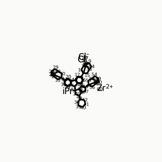 CC(C)C1(C2c3ccc(C45CC6CC(CC(C6)C4)C5)cc3-c3cc(C45CC6CC(CC(C6)C4)C5)ccc32)CC(C2CCCCC2)C2=C1C=C(C13CC4CC(CC(C4)C1)C3)C2.[Cl-].[Cl-].[Zr+2]